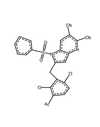 CC(=O)c1ccc(Cl)c(Cc2cc3nc(C#N)c(C#N)cc3n2S(=O)(=O)c2ccccc2)c1Cl